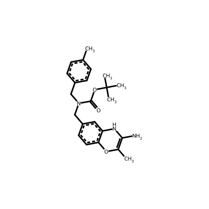 CC1=C(N)Nc2cc(CN(Cc3ccc(C)cc3)C(=O)OC(C)(C)C)ccc2O1